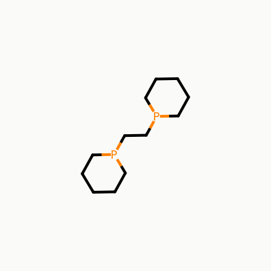 C1CCP(CCP2CCCCC2)CC1